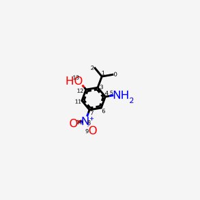 CC(C)c1c(N)cc([N+](=O)[O-])cc1O